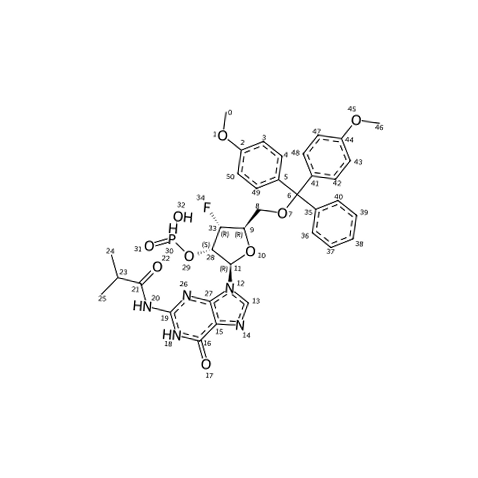 COc1ccc(C(OC[C@H]2O[C@@H](n3cnc4c(=O)[nH]c(NC(=O)C(C)C)nc43)[C@H](O[PH](=O)O)[C@@H]2F)(c2ccccc2)c2ccc(OC)cc2)cc1